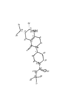 C=C1C2=C(CCN1C1CCN(C(=O)OC(C)(C)C)CC1)N[C@@H](C)[C@@H](C(C)C)C2